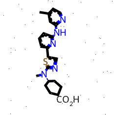 Cc1ccnc(Nc2cccc(-c3cnc(N(C)[C@H]4CC[C@H](C(=O)O)CC4)s3)n2)c1